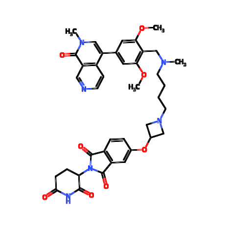 COc1cc(-c2cn(C)c(=O)c3cnccc23)cc(OC)c1CN(C)CCCCN1CC(Oc2ccc3c(c2)C(=O)N(C2CCC(=O)NC2=O)C3=O)C1